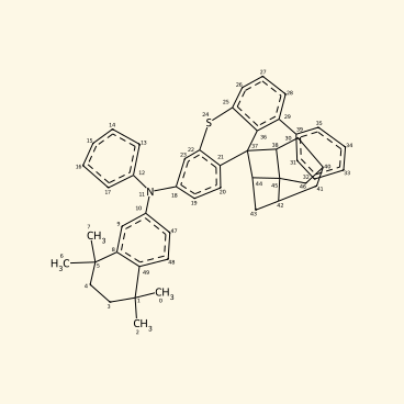 CC1(C)CCC(C)(C)c2cc(N(c3ccccc3)c3ccc4c(c3)Sc3cccc(-c5ccccc5)c3C43C4CC5CC6CC3C64C5)ccc21